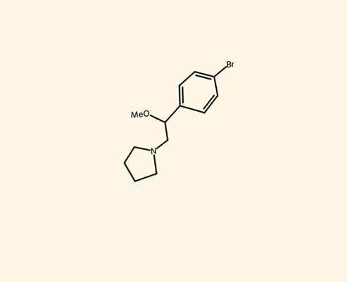 COC(CN1CCCC1)c1ccc(Br)cc1